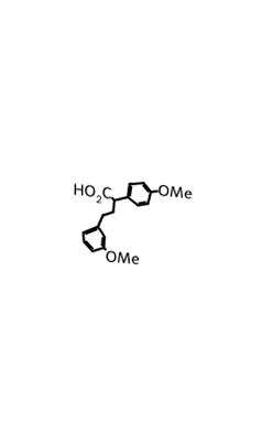 COc1ccc(C(CCc2cccc(OC)c2)C(=O)O)cc1